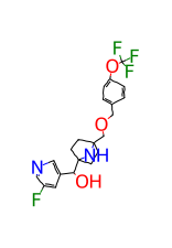 OC(c1cncc(F)c1)C12CCC(COCc3ccc(OC(F)(F)F)cc3)(CC1)N2